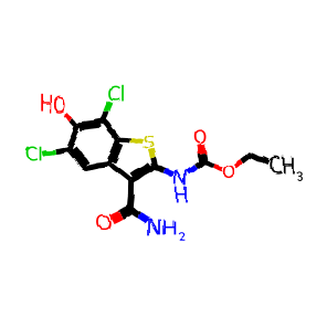 CCOC(=O)Nc1sc2c(Cl)c(O)c(Cl)cc2c1C(N)=O